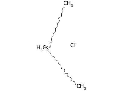 CCCCCCCCCCCCCCCCCC[S+](C)CCCCCCCCCCCCCCCCCC.[Cl-]